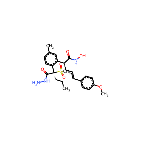 CCC[C@](C(=O)NN)(c1ccc(C)cc1[C@H](C/C=C/c1ccc(OC)cc1)C(=O)NO)S(C)(=O)=O